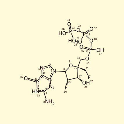 Nc1nc2c(ncn2C2O[C@](CF)(COP(=O)(O)OP(=O)(O)OP(=O)(O)O)[C@@H](O)[C@H]2F)c(=O)[nH]1